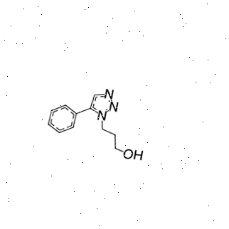 OCCCn1nncc1-c1ccccc1